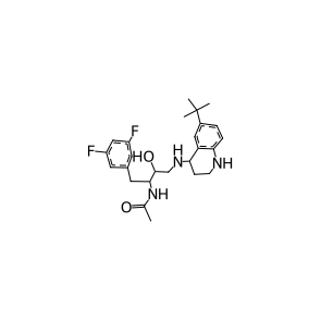 CC(=O)NC(Cc1cc(F)cc(F)c1)C(O)CNC1CCNc2ccc(C(C)(C)C)cc21